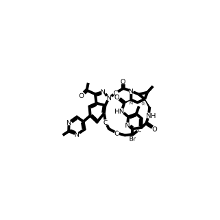 CC(=O)c1nn2c3c(cc(-c4cnc(C)nc4)cc13)CCCCCCC(=O)NC[C@@]13C[C@@H](C(=O)Nc4nc(Br)ccc4C)N(C(=O)C2)C1C3C